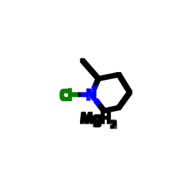 CC1CCCCN1Cl.[MgH2]